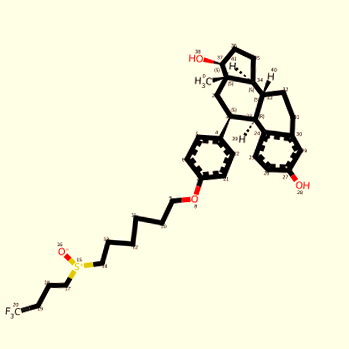 C[C@]12C[C@H](c3ccc(OCCCCCC[S+]([O-])CCCC(F)(F)F)cc3)[C@@H]3c4ccc(O)cc4CC[C@H]3[C@@H]1CC[C@@H]2O